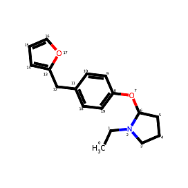 CCN1CCCC1Oc1ccc(Cc2ccco2)cc1